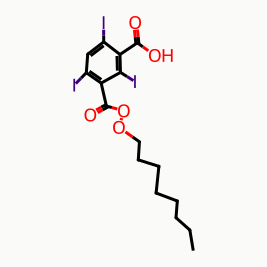 CCCCCCCCOOC(=O)c1c(I)cc(I)c(C(=O)O)c1I